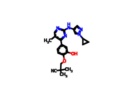 Cc1cnc(Nc2cnn(C3CC3)c2)nc1-c1ccc(OCC(C)(C)C#N)c(O)c1